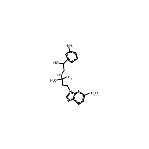 CCOC(=O)c1ccc2ncn(CCC(C)(C)NCC(O)c3cccc(N)c3)c2n1